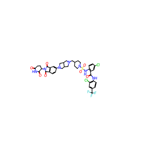 O=C1CCC(N2C(=O)c3ccc(N4CC5CN(CC6CCN(S(=O)(=O)Nc7ccc(Cl)cc7C(=O)Nc7ccc(C(F)(F)F)cc7Cl)CC6)CC5C4)cc3C2=O)C(=O)N1